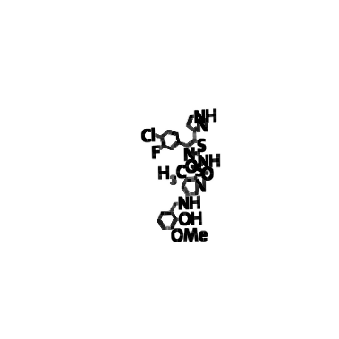 COc1cccc(CNc2cnc(S(=O)(=O)Nc3nc(-c4ccc(Cl)c(F)c4)c(-c4cc[nH]n4)s3)c(C)c2)c1O